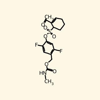 CNC(=O)OCc1cc(F)c(OS(=O)(=O)C2CCCC=C2C(C)=O)cc1F